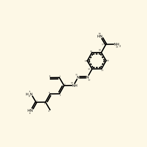 C=C/C(=C\C=C(/C)C(=N)N)N/N=N/c1ccc(C(=N)N)cc1